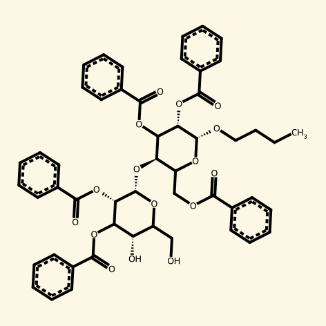 CCCCO[C@@H]1OC(COC(=O)c2ccccc2)[C@@H](O[C@@H]2OC(CO)[C@H](O)C(OC(=O)c3ccccc3)[C@@H]2OC(=O)c2ccccc2)C(OC(=O)c2ccccc2)[C@@H]1OC(=O)c1ccccc1